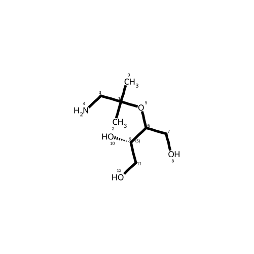 CC(C)(CN)OC(CO)[C@@H](O)CO